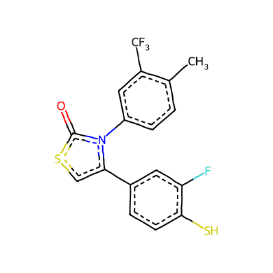 Cc1ccc(-n2c(-c3ccc(S)c(F)c3)csc2=O)cc1C(F)(F)F